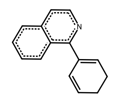 C1=CC(c2nccc3ccccc23)=CCC1